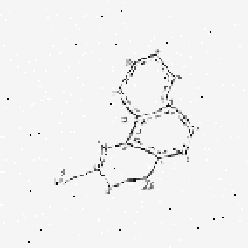 SC1=Nc2c(ccc3ccccc23)CC1